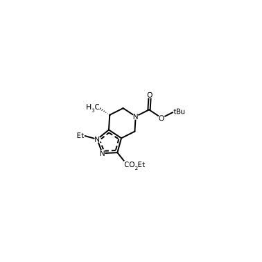 CCOC(=O)c1nn(CC)c2c1CN(C(=O)OC(C)(C)C)C[C@H]2C